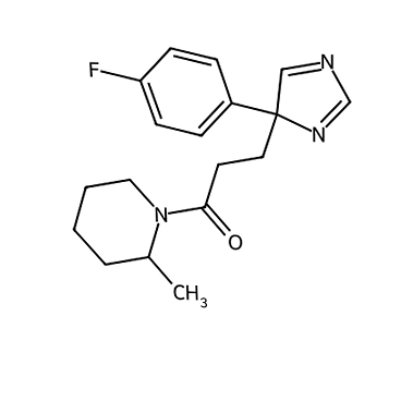 CC1CCCCN1C(=O)CCC1(c2ccc(F)cc2)C=NC=N1